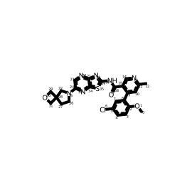 COc1ccc(Cl)cc1-c1cc(C)ncc1C(=O)Nc1nc2ncc(N3CCC4(COC4)C3)nc2s1